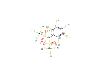 O=S(=O)(C(c1c(F)c(F)c(F)c(F)c1F)S(=O)(=O)C(F)(F)F)C(F)(F)F